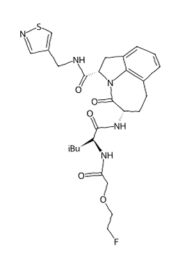 CC[C@H](C)[C@H](NC(=O)COCCF)C(=O)N[C@H]1CCc2cccc3c2N(C1=O)[C@H](C(=O)NCc1cnsc1)C3